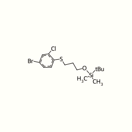 CC(C)(C)[Si](C)(C)OCCCSc1ccc(Br)cc1Cl